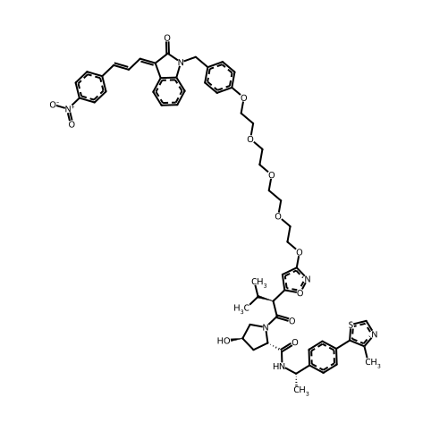 Cc1ncsc1-c1ccc([C@H](C)NC(=O)[C@@H]2C[C@@H](O)CN2C(=O)[C@H](c2cc(OCCOCCOCCOCCOc3ccc(CN4C(=O)/C(=C/C=C/c5ccc([N+](=O)[O-])cc5)c5ccccc54)cc3)no2)C(C)C)cc1